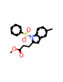 COC(=O)CCc1cc2cc(C)ccc2n1S(=O)(=O)c1ccccc1